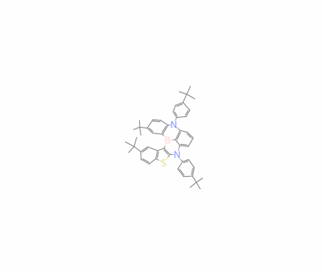 CC(C)(C)c1ccc(N2c3ccc(C(C)(C)C)cc3B3c4c2cccc4N(c2ccc(C(C)(C)C)cc2)c2sc4ccc(C(C)(C)C)cc4c23)cc1